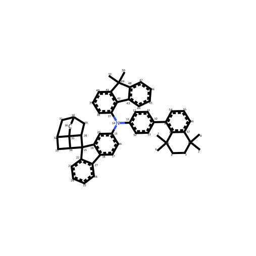 CC1(C)CCC(C)(C)c2c(-c3ccc(N(c4ccc5c(c4)C4(c6ccccc6-5)C5CC6CC7CC4C75C6)c4cccc5c4-c4ccccc4C5(C)C)cc3)cccc21